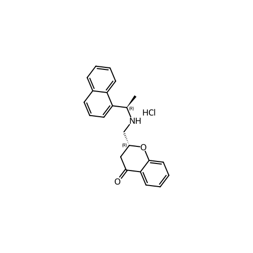 C[C@@H](NC[C@H]1CC(=O)c2ccccc2O1)c1cccc2ccccc12.Cl